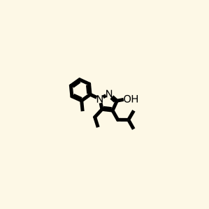 CCc1c(CC(C)C)c(O)nn1-c1ccccc1C